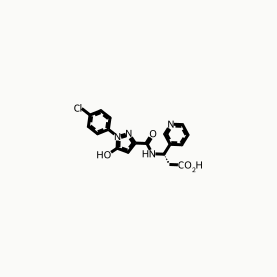 O=C(O)C[C@H](NC(=O)c1cc(O)n(-c2ccc(Cl)cc2)n1)c1cccnc1